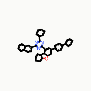 C1=C(c2ccc(-c3ccccc3)cc2)C=C(c2nc(-c3ccccc3)nc(-c3ccc4ccccc4c3)n2)C2c3ccccc3OC12